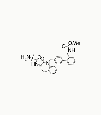 COC(=O)NCc1ccccc1-c1ccc(CN2C(=O)[C@H](NC(=O)C(C)(C)N)CCc3ccccc32)cc1